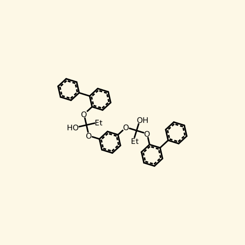 CCC(O)(Oc1cccc(OC(O)(CC)Oc2ccccc2-c2ccccc2)c1)Oc1ccccc1-c1ccccc1